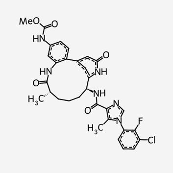 COC(=O)Nc1ccc2c(c1)NC(=O)[C@@H](C)CCC[C@H](NC(=O)c1ncn(-c3cccc(Cl)c3F)c1C)c1cc-2cc(=O)[nH]1